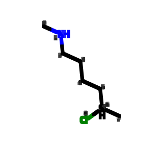 CNCCCC[SiH](C)Cl